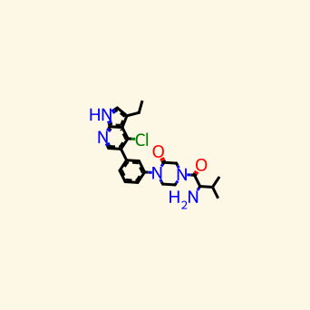 CCc1c[nH]c2ncc(-c3cccc(N4CCN(C(=O)C(N)C(C)C)CC4=O)c3)c(Cl)c12